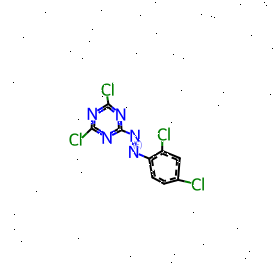 Clc1ccc(/N=N/c2nc(Cl)nc(Cl)n2)c(Cl)c1